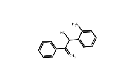 C=C(c1ccccc1)C(O)c1ccccc1C